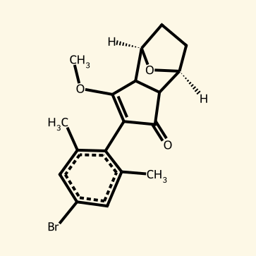 COC1=C(c2c(C)cc(Br)cc2C)C(=O)C2C1[C@H]1CC[C@@H]2O1